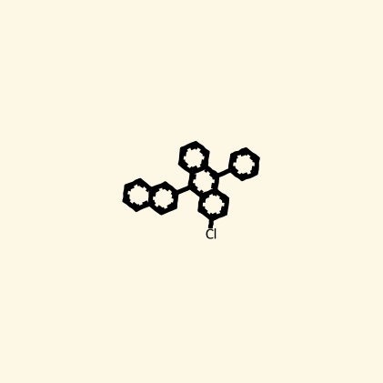 Clc1ccc2c(-c3ccccc3)c3ccccc3c(-c3ccc4ccccc4c3)c2c1